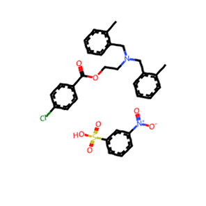 Cc1ccccc1CN(CCOC(=O)c1ccc(Cl)cc1)Cc1ccccc1C.O=[N+]([O-])c1cccc(S(=O)(=O)O)c1